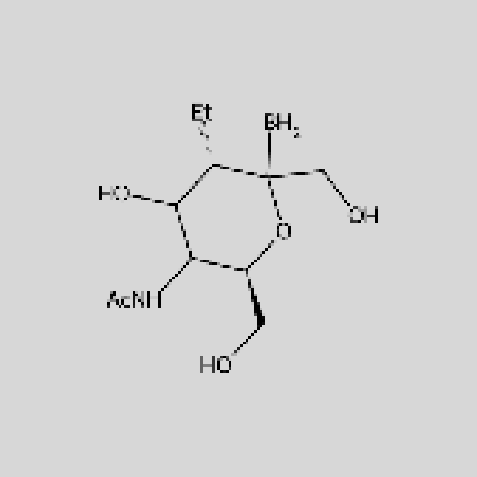 BC1(CO)O[C@@H](CO)C(NC(C)=O)C(O)[C@@H]1CC